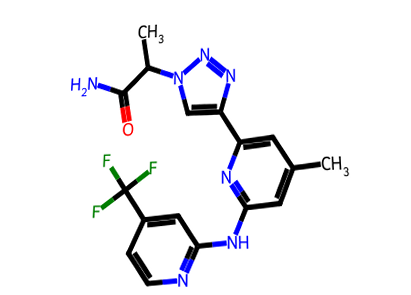 Cc1cc(Nc2cc(C(F)(F)F)ccn2)nc(-c2cn(C(C)C(N)=O)nn2)c1